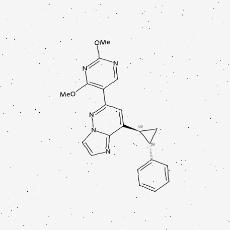 COc1ncc(-c2cc([C@H]3C[C@@H]3c3ccccc3)c3nccn3n2)c(OC)n1